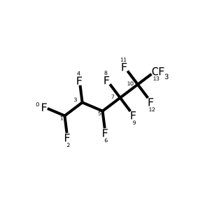 FC(F)C(F)C(F)C(F)(F)C(F)(F)C(F)(F)F